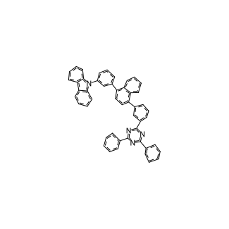 c1ccc(-c2nc(-c3ccccc3)nc(-c3cccc(-c4ccc(-c5cccc(-n6c7ccccc7c7ccccc76)c5)c5ccccc45)c3)n2)cc1